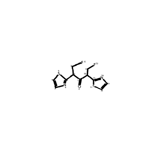 O=C(C(CF)c1nccs1)C(CF)c1nccs1